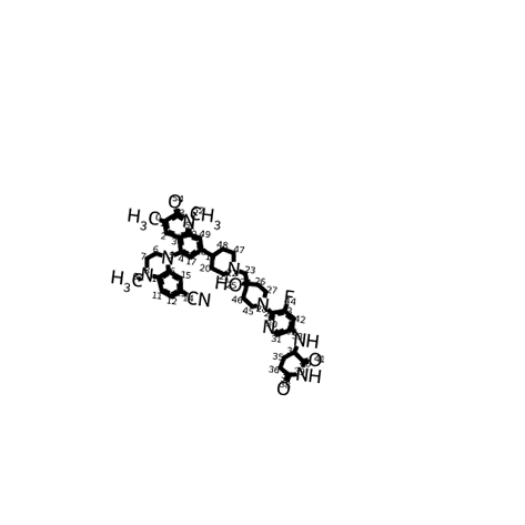 Cc1cc2c(N3CCN(C)c4ccc(C#N)cc43)cc(C3CCN(CC4(O)CCN(c5ncc(NC6CCC(=O)NC6=O)cc5F)CC4)CC3)cc2n(C)c1=O